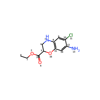 CCOC(=O)C1CNc2cc(Cl)c(N)cc2O1